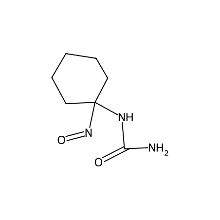 NC(=O)NC1(N=O)CCCCC1